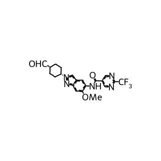 COc1cc2nn([C@H]3CC[C@H](C=O)CC3)cc2cc1NC(=O)c1cnc(C(F)(F)F)nc1